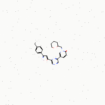 CNCc1ccc(-c2cc(-c3cncc(-c4ccc(=O)n(CC5CCCCO5)c4)n3)on2)cc1